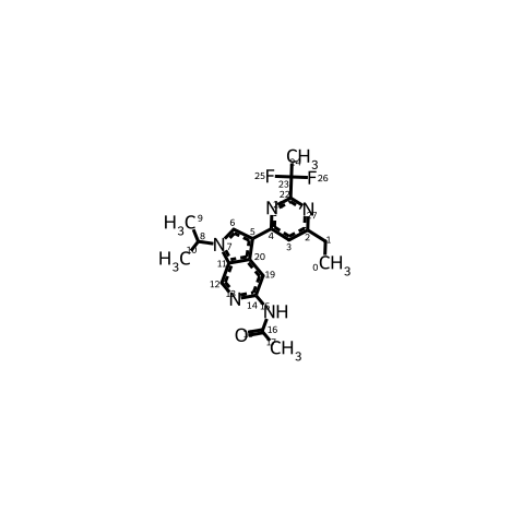 CCc1cc(-c2cn(C(C)C)c3cnc(NC(C)=O)cc23)nc(C(C)(F)F)n1